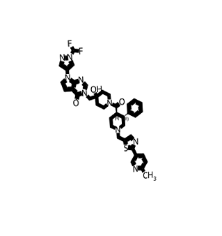 Cc1ccc(-c2ncc(CN3CC[C@@H](C(=O)N4CCC(O)(Cn5cnc6c(ccn6-c6cnn(C(F)F)c6)c5=O)CC4)[C@H](c4ccccc4)C3)s2)cn1